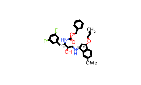 C=CCO[C@@H]1C[C@H](NCC(O)[C@H](Cc2cc(F)cc(F)c2)NC(=O)OCc2ccccc2)c2cc(OC)ccc21